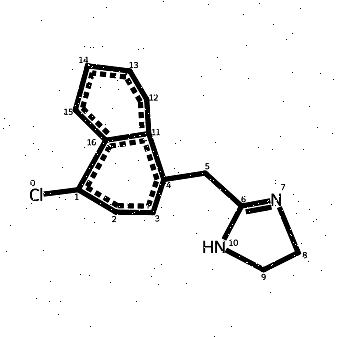 Clc1ccc(CC2=NCCN2)c2ccccc12